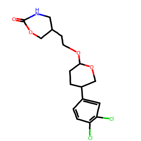 O=C1NCC(CCOC2CCC(c3ccc(Cl)c(Cl)c3)CO2)CO1